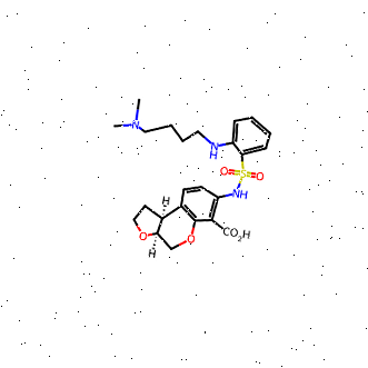 CN(C)CCCCNc1ccccc1S(=O)(=O)Nc1ccc2c(c1C(=O)O)OC[C@H]1OCC[C@@H]21